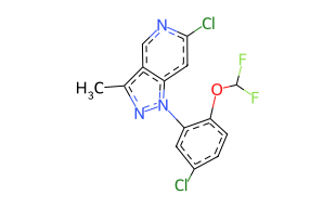 Cc1nn(-c2cc(Cl)ccc2OC(F)F)c2cc(Cl)ncc12